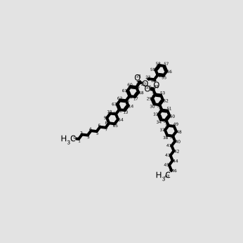 CCCCCCCCC1CCC(c2ccc(-c3ccc(C(=O)OCC(OC(=O)c4ccc(-c5ccc(C6CCC(CCCCCCCC)CC6)cc5)cc4)c4ccccc4)cc3)cc2)CC1